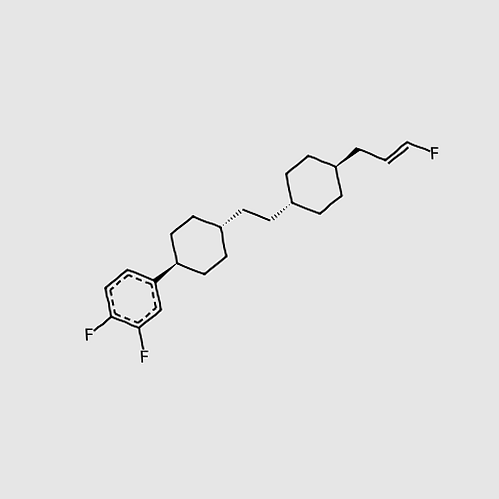 FC=CC[C@H]1CC[C@H](CC[C@H]2CC[C@H](c3ccc(F)c(F)c3)CC2)CC1